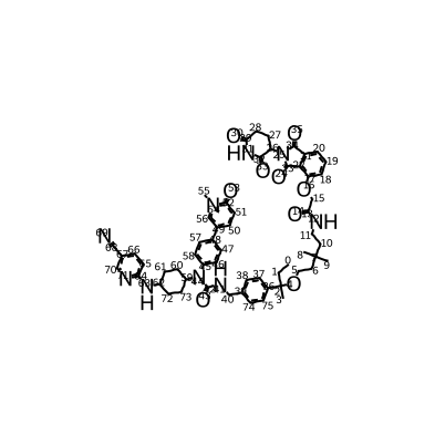 CCC(C)(OCCC(C)(C)CCNC(=O)COc1cccc2c1C(=O)N(C1CCC(=O)NC1=O)C2=O)c1ccc(CNC(=O)N(c2ccc(-c3ccc(=O)n(C)c3)cc2)C2CCC(Nc3ccc(C#N)cn3)CC2)cc1